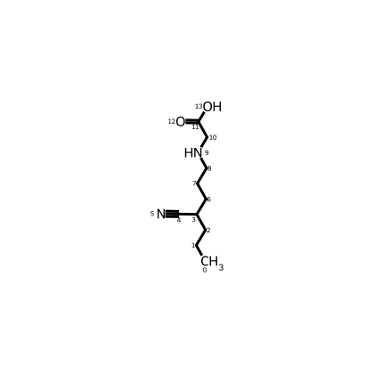 CCCC(C#N)CCCNCC(=O)O